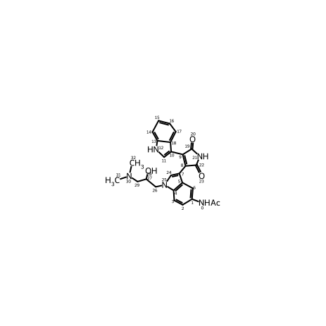 CC(=O)Nc1ccc2c(c1)c(C1=C(c3c[nH]c4ccccc34)C(=O)NC1=O)cn2CC(O)CN(C)C